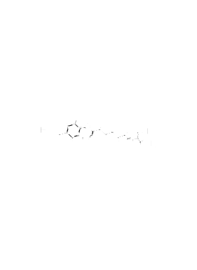 CCc1ccc(OC(=O)CCCCCOC(C)C)cc1